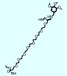 CCOP(=O)(O)CCOCCOCCOCCOCCOCCOCCOCCOC/C(=C/NCc1cc(OC)c(OC)c(OC)c1)N=N